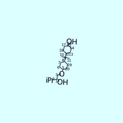 CC(C)C(O)COC1CCC(C(C)(C)C2CCC(O)CC2)CC1